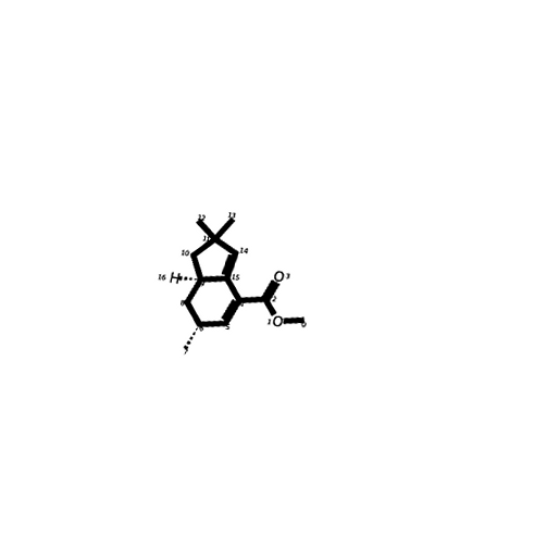 COC(=O)C1=C[C@H](C)C[C@H]2CC(C)(C)C=C12